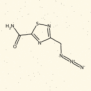 [N-]=[N+]=NCc1nsc(C(N)=O)n1